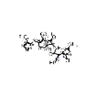 Nc1nc(/C(=N/O)C(=O)N[C@@H]2C(=O)N3C(C(=O)O)=C(Sc4snnc4C(F)(F)F)CC[C@H]23)c(Cl)s1